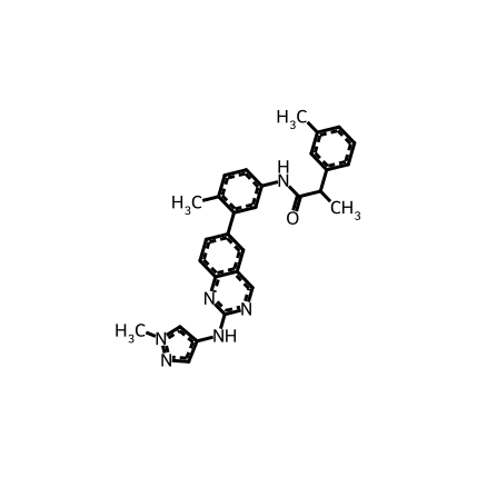 Cc1cccc(C(C)C(=O)Nc2ccc(C)c(-c3ccc4nc(Nc5cnn(C)c5)ncc4c3)c2)c1